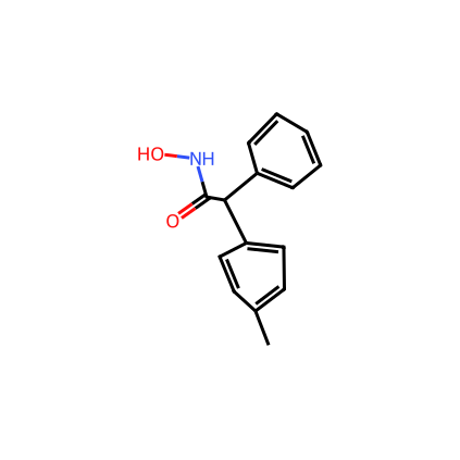 Cc1ccc(C(C(=O)NO)c2ccccc2)cc1